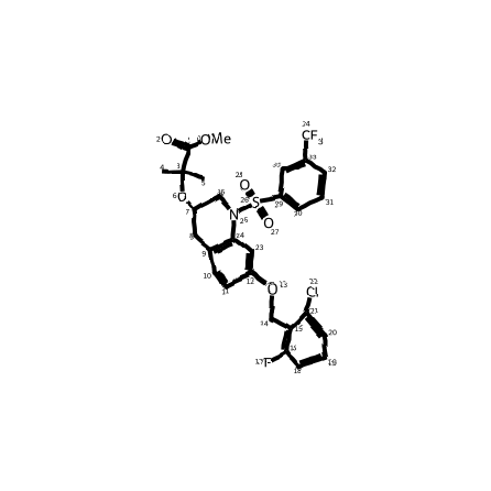 COC(=O)C(C)(C)O[C@@H]1Cc2ccc(OCc3c(F)cccc3Cl)cc2N(S(=O)(=O)c2cccc(C(F)(F)F)c2)C1